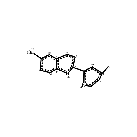 Cc1ccnc(-c2ccc3cc(C(C)(C)C)ccc3n2)c1